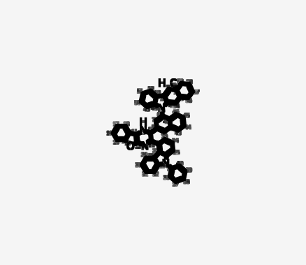 CC12C=c3c(n(-c4cc(C5Nc6c(oc7ccccc67)N=C5c5cccc6c5c5ccccc5n6-c5ccccc5)cc5ccccc45)c4ccccc34)=CC1=CC=CC2